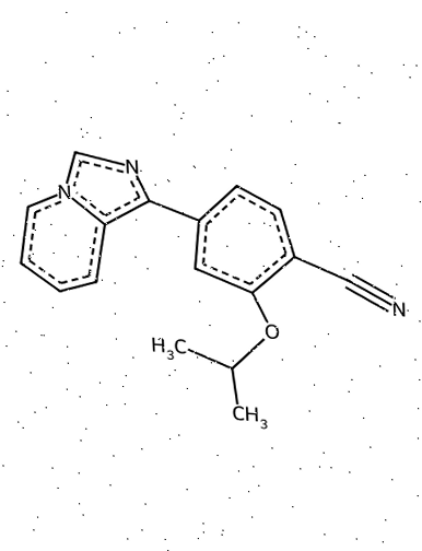 CC(C)Oc1cc(-c2ncn3ccccc23)ccc1C#N